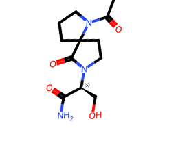 CC(=O)N1CCCC12CCN([C@@H](CO)C(N)=O)C2=O